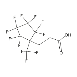 O=C(O)CCC1(C(F)(F)F)C(F)(F)C(F)(F)C(F)(F)C1(F)F